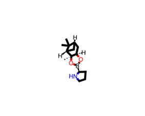 CC1(C)[C@@H]2C[C@H]3OB([C@H]4CCCN4)O[C@@]3(C)[C@H]1C2